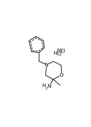 CC1(N)CN(Cc2ccccc2)CCO1.Cl.Cl